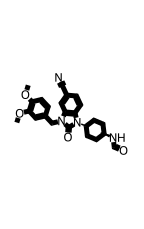 COc1ccc(Cn2c(=O)n([C@H]3CC[C@H](NC=O)CC3)c3ccc(C#N)cc32)cc1OC